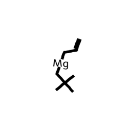 C=C[CH2][Mg][CH2]C(C)(C)C